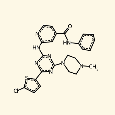 CN1CCN(c2nc(Nc3cc(C(=O)Nc4ccccc4)ccn3)nc(-c3ccc(Cl)s3)n2)CC1